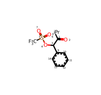 CC(C)C(=O)C(OS(=O)(=O)C(F)(F)F)c1ccccc1